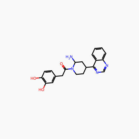 NC1CC(c2ncnc3ccccc23)CCN1C(=O)Cc1ccc(O)c(O)c1